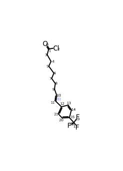 O=C(Cl)CCCCCCC/C=C/c1ccc(C(F)(F)F)cc1